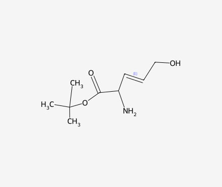 CC(C)(C)OC(=O)C(N)/C=C/CO